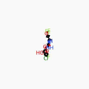 O=C(NC12CC(n3cc([C@H]4C[C@@H](OC(F)(F)F)C4)cn3)(C1)C2)[C@H]1C[C@@H](O)c2cc(Cl)c(F)cc2O1